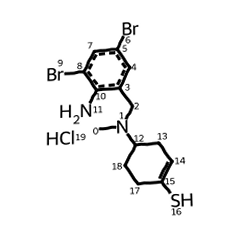 CN(Cc1cc(Br)cc(Br)c1N)C1CC=C(S)CC1.Cl